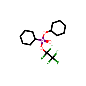 O=P(OC1CCCCC1)(OC(F)(F)C(F)(F)F)C1CCCCC1